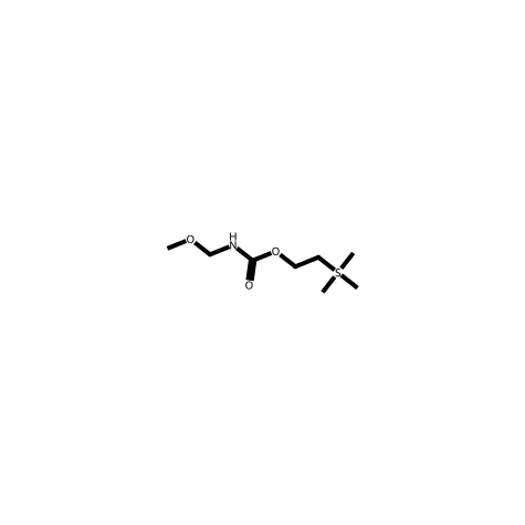 COCNC(=O)OCCS(C)(C)C